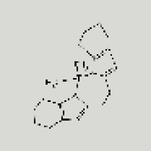 [CH3][Ti]1([CH3])[CH]2C(=CC3=C2CCCC3)CCC2=CC3=C(CCCC3)[CH]21